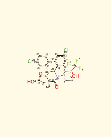 CC[C@@H](C[C@H](O)C(F)(F)F)N1C(=O)[C@](C)(CC(=O)O)C[C@H](c2cccc(Cl)c2)[C@H]1c1ccc(Cl)cc1